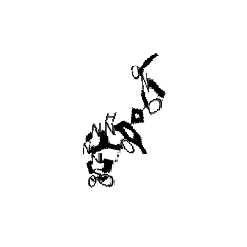 CC#CC(=O)N1CCOC([C@H]2C[C@@H](c3cc(C)c4c(c3)Nc3ncnc(N5CCS(=O)(=O)CC5)c3[C@@H](C)O4)C2)C1